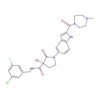 CN1CCN(C(=O)c2cc3cc(N4CCC(O)(C(=O)NCc5cc(F)cc(Cl)c5)C4=O)ccc3[nH]2)CC1